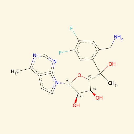 Cc1ncnc2c1ccn2[C@@H]1O[C@H](C(C)(O)c2cc(F)c(F)cc2CN)[C@@H](O)[C@H]1O